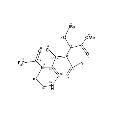 COC(=O)C(OC(C)(C)C)c1c(C)cc2c(c1Cl)N(C(=O)C(F)(F)F)CCN2